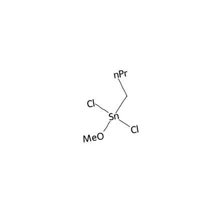 CCC[CH2][Sn]([Cl])([Cl])[O]C